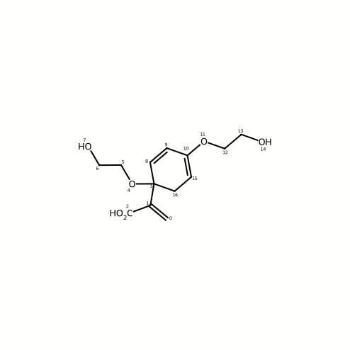 C=C(C(=O)O)C1(OCCO)C=CC(OCCO)=CC1